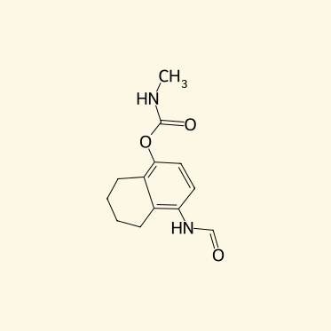 CNC(=O)Oc1ccc(NC=O)c2c1CCCC2